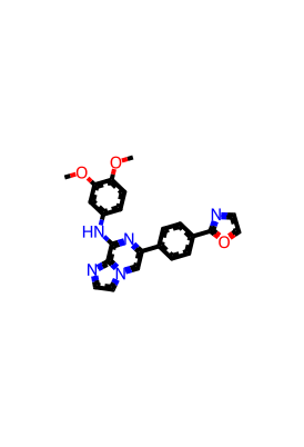 COc1ccc(Nc2nc(-c3ccc(-c4ncco4)cc3)cn3ccnc23)cc1OC